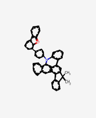 CC1(C)c2ccccc2-c2ccc(-c3ccccc3N(c3ccc(-c4cccc5c4oc4ccccc45)cc3)c3cccc4ccccc34)cc21